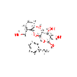 CC(=O)Oc1ccccc1.OCc1ccccc1O[C@@H]1O[C@H](O)[C@@H](O)[C@H](O)[C@H]1O